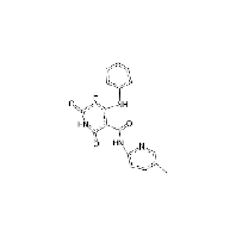 Cc1ccc(NC(=O)c2c(Nc3ccccc3)[nH]c(=O)[nH]c2=O)nc1